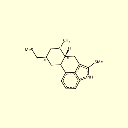 CSC[C@@H]1CC2c3cccc4[nH]c(SC)c(c34)C[C@H]2N(C)C1